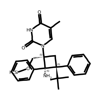 Cc1cn([C@@]2(CO[SiH3])C[C@@](c3ccccc3)(C(C)(C)C)[C@@]2(N)c2ccccc2)c(=O)[nH]c1=O